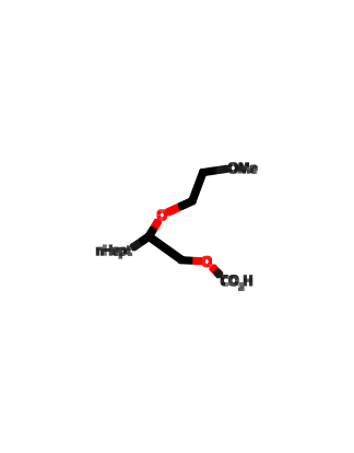 CCCCCCCC(COC(=O)O)OCCOC